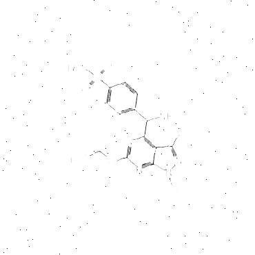 CCOc1nc(C(N)c2ccc(S(N)(=O)=O)cc2)c2c(Br)nn(C)c2n1